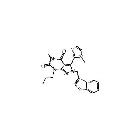 CCCn1c(=O)n(C)c(=O)c2c(-c3nccn3C)n(Cc3csc4ccccc34)nc21